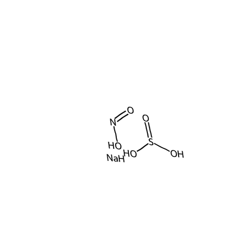 O=NO.O=S(O)O.[NaH]